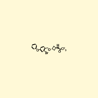 O=C(N[C@H]1C[C@H](OCc2ccc(Oc3ccccc3)cc2Br)C1)C(F)(F)F